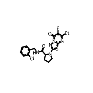 CCc1nc2sc(N3CCCC3C(=O)NCc3ccccc3Cl)nn2c(=O)c1F